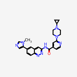 Cn1cncc1-c1ccc2nnc(NC(=O)c3ccnc(N4CCN(C5CC5)CC4)c3)cc2c1